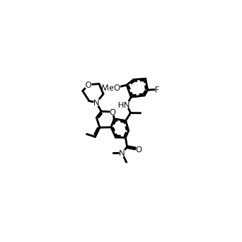 CC=C1C=C(N2CCOCC2)Oc2c1cc(C(=O)N(C)C)cc2C(C)Nc1cc(F)ccc1OC